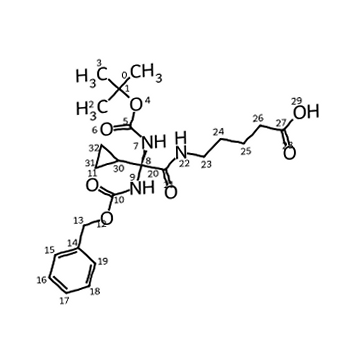 CC(C)(C)OC(=O)N[C@](NC(=O)OCc1ccccc1)(C(=O)NCCCCC(=O)O)C1CC1